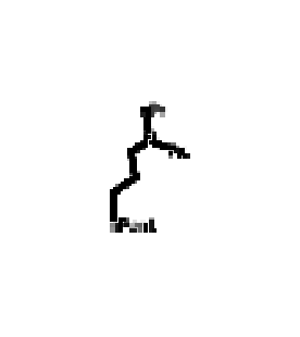 CCCCCCCCN(CCC)C(C)=O